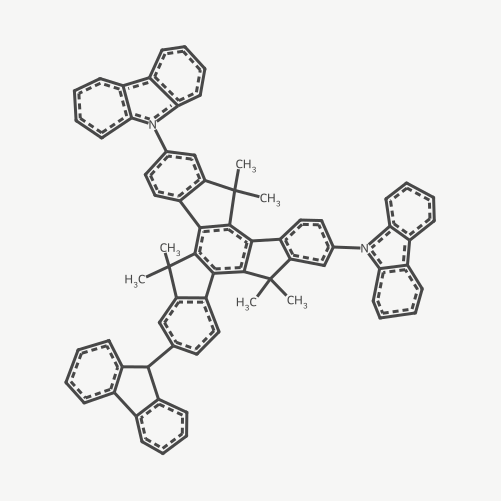 CC1(C)c2cc(C3c4ccccc4-c4ccccc43)ccc2-c2c1c1c(c3c2C(C)(C)c2cc(-n4c5ccccc5c5ccccc54)ccc2-3)C(C)(C)c2cc(-n3c4ccccc4c4ccccc43)ccc2-1